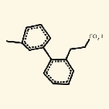 Cc1cccc(-c2ccccc2CCC(=O)O)c1